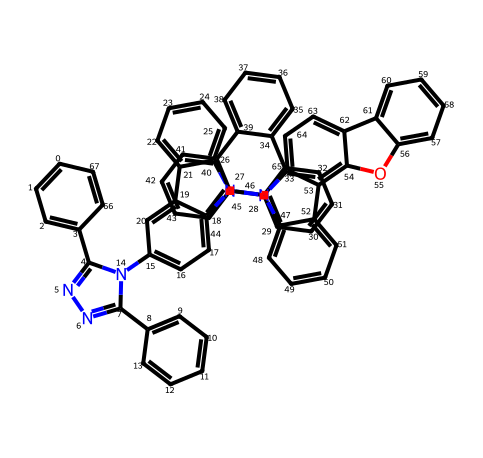 c1ccc(-c2nnc(-c3ccccc3)n2-c2ccc3c(c2)c2ccccc2n3-c2ccccc2-c2ccccc2-c2ccccc2-n2c3ccccc3c3c4oc5ccccc5c4ccc32)cc1